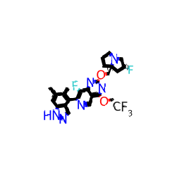 Cc1cc2[nH]ncc2c(-c2ncc3c(OCC(F)(F)F)nc(OC[C@@]45CCCN4C[C@H](F)C5)nc3c2F)c1C